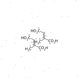 C/C(=C\C(=O)O)C(=O)O.C/C(=C\C(=O)O)C(=O)O